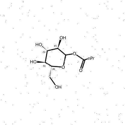 CCCC(=O)OC1O[C@H](CO)[C@@H](O)[C@H](O)[C@H]1O